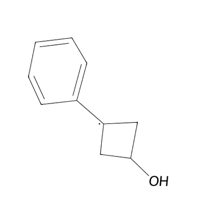 OC1C[C](c2ccccc2)C1